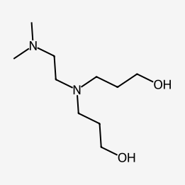 CN(C)CCN(CCCO)CCCO